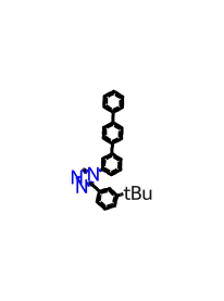 CC(C)(C)c1cccc(-c2nncn2-c2cccc(-c3ccc(-c4ccccc4)cc3)c2)c1